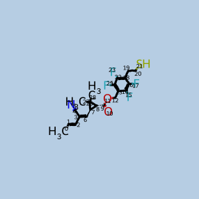 C/C=C/C(C#N)=C/[C@@H]1[C@@H](C(=O)OCc2c(F)c(F)c(CCS)c(F)c2F)C1(C)C